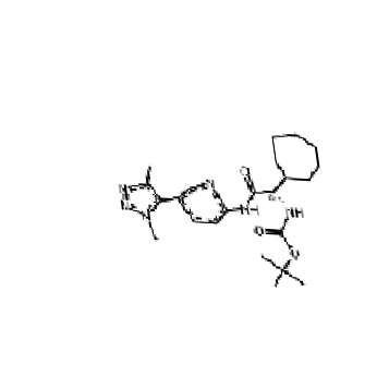 Cc1nnn(C)c1-c1ccc(NC(=O)[C@@H](NC(=O)OC(C)(C)C)C2CCCCCC2)nc1